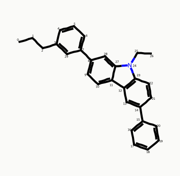 CCCc1cccc(-c2ccc3c4cc(-c5ccccc5)ccc4n(CC)c3c2)c1